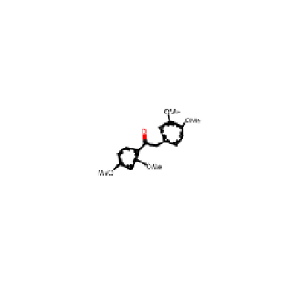 COc1ccc(C(=O)Cc2ccc(OC)c(OC)c2)c(OC)c1